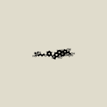 CCCCO[C@]1(C(=O)CO)[C@H](O)C[C@H]2[C@@H]3CCC4=Cc5c(cnn5-c5cccc(OCCCCP(=O)(O)O)c5)C[C@]4(C)[C@H]3[C@@H](O)C[C@@]21C